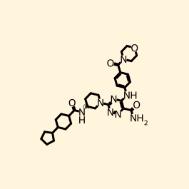 NC(=O)c1nnc(N2CCC[C@@H](NC(=O)C3CCC(C4CCCC4)CC3)C2)nc1Nc1ccc(C(=O)N2CCOCC2)cc1